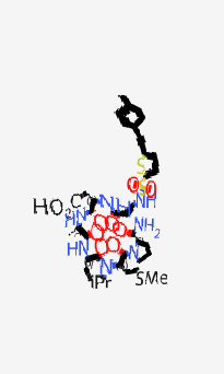 CSCC[C@@H](C(=O)N1CCC[C@H]1C(N)=O)N(C)C(=O)[C@H](CC(C)C)NC(=O)[C@H](C)NC(=O)[C@H](CC(=O)O)NC(=O)CCNS(=O)(=O)c1ccc(C#Cc2ccc(C)cc2)s1